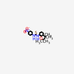 CC1(C)CC(C)(C)c2cccc(NC(=S)Nc3ccc([N+](=O)[O-])cc3)c2O1